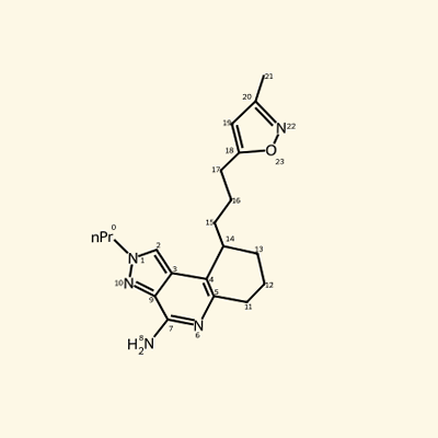 CCCn1cc2c3c(nc(N)c2n1)CCCC3CCCc1cc(C)no1